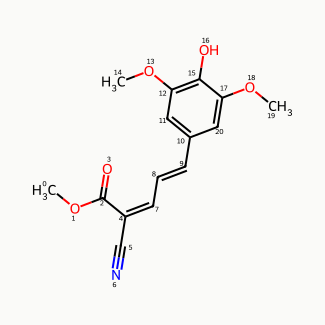 COC(=O)C(C#N)=CC=Cc1cc(OC)c(O)c(OC)c1